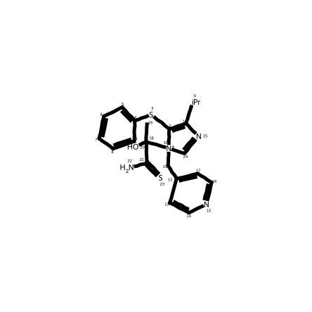 CC(C)C1=C(Sc2ccccc2)[N+](Cc2ccncc2)(C(C)(O)C(N)=S)C=N1